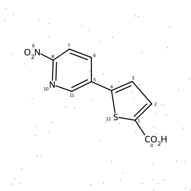 O=C(O)c1ccc(-c2ccc([N+](=O)[O-])nc2)s1